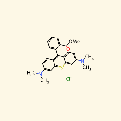 COC(=O)c1ccccc1-c1c2ccc(N(C)C)cc2[s+]c2cc(N(C)C)ccc12.[Cl-]